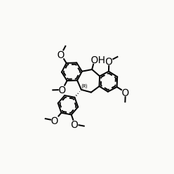 COc1cc2c(c(OC)c1)C(O)c1cc(OC)cc(OC)c1[C@@H](c1ccc(OC)c(OC)c1)C2